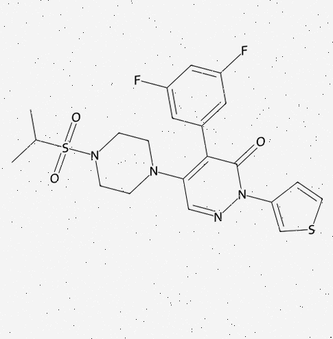 CC(C)S(=O)(=O)N1CCN(c2cnn(-c3ccsc3)c(=O)c2-c2cc(F)cc(F)c2)CC1